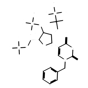 CC(C)(C[C@H]1C(O[Si](C)(C)C(C)(C)C)[C@@H](CO[Si](C)(C)C(C)(C)C)O[C@H]1c1cn(Cc2ccccc2)c(=O)[nH]c1=O)[Si](C)(C)O